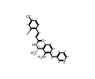 C[C@H](NC(=O)C=Cc1ccc(Cl)cc1F)c1cccc(Cc2cccnc2)c1N